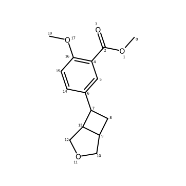 COC(=O)c1cc(C2CC3COCC32)ccc1OC